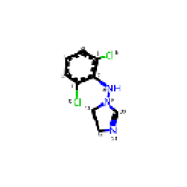 Clc1cccc(Cl)c1NN1C=NCC1